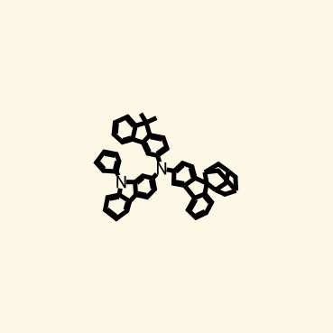 CC1(C)c2ccccc2-c2cc(N(c3ccc4c(c3)-c3ccccc3C43C4CC5CC(C4)CC3C5)c3ccc4c5ccccc5n(-c5ccccc5)c4c3)ccc21